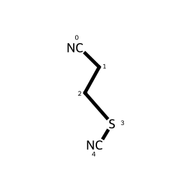 N#CCCSC#N